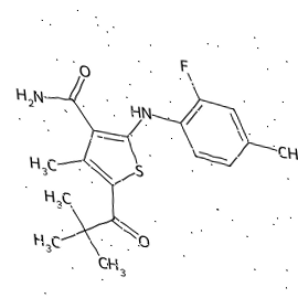 Cc1ccc(Nc2sc(C(=O)C(C)(C)C)c(C)c2C(N)=O)c(F)c1